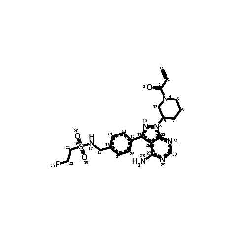 C=CC(=O)N1CCCC(n2nc(-c3ccc(CNS(=O)(=O)CCF)cc3)c3c(N)ncnc32)C1